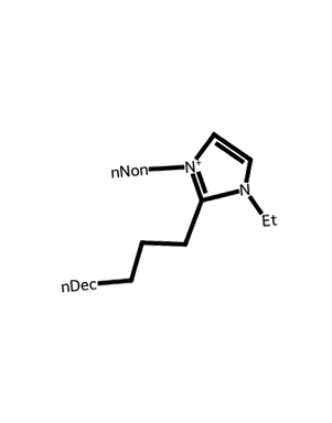 CCCCCCCCCCCCCc1n(CC)cc[n+]1CCCCCCCCC